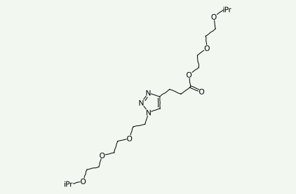 CC(C)OCCOCCOCCn1cc(CCC(=O)OCCOCCOC(C)C)nn1